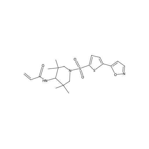 C=CC(=O)NC1C(C)(C)CN(S(=O)(=O)c2ccc(-c3ccno3)s2)CC1(C)C